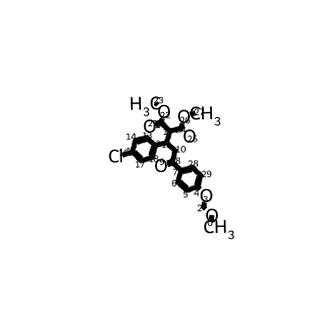 COCOc1ccc(C(=O)CC(c2ccc(Cl)cc2)C(C(=O)OC)C(=O)OC)cc1